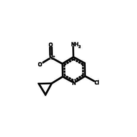 Nc1cc(Cl)nc(C2CC2)c1[N+](=O)[O-]